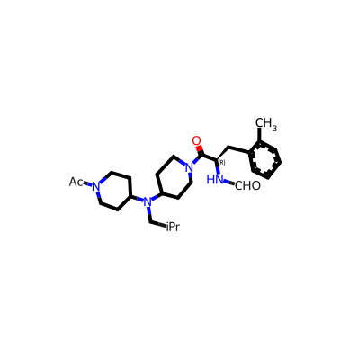 CC(=O)N1CCC(N(CC(C)C)C2CCN(C(=O)[C@@H](Cc3ccccc3C)NC=O)CC2)CC1